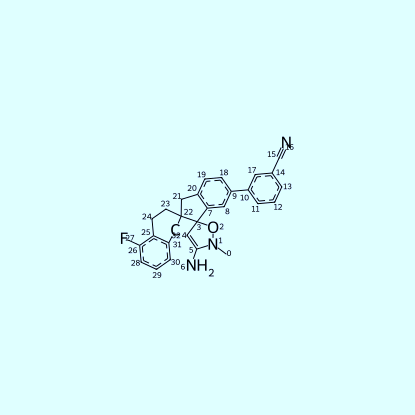 CN1OC2(C=C1N)c1cc(-c3cccc(C#N)c3)ccc1CC21CCc2c(F)cccc2C1